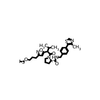 Cc1ncsc1-c1ccc(CNC(=O)[C@@H]2CCCN2C(=O)C(c2cc(CCCOSI)no2)C(C)C)cc1